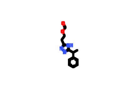 CC(c1ccccc1)c1nnc(CCOC=O)[nH]1